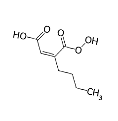 CCCCC(=CC(=O)O)C(=O)OO